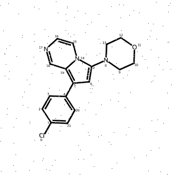 Clc1ccc(-c2cc(N3CCOCC3)n3ccncc23)cc1